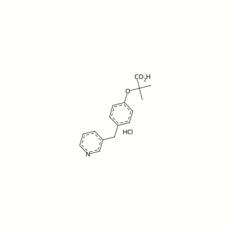 CC(C)(Oc1ccc(Cc2cccnc2)cc1)C(=O)O.Cl